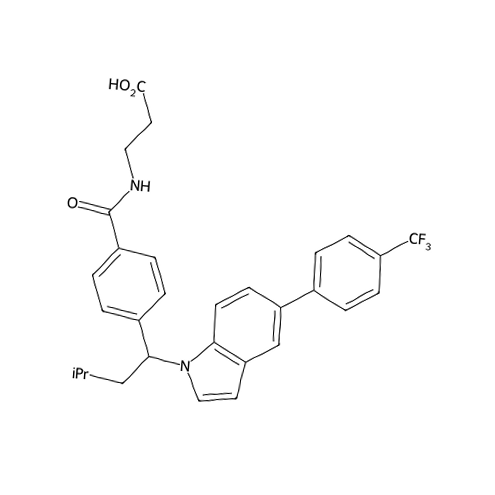 CC(C)CC(c1ccc(C(=O)NCCC(=O)O)cc1)n1ccc2cc(-c3ccc(C(F)(F)F)cc3)ccc21